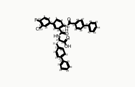 O=C(Nc1ccc(-c2ccc(F)c(Cl)c2)cc1C(=O)N[C@@H](Cc1ccc(-c2ccccc2)cc1)C(=O)O)c1ccc(-c2ccccc2)cc1